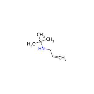 C=CCN[Si](C)(C)C